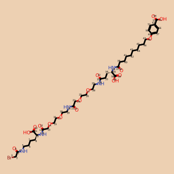 O=C(CBr)NCCCC[C@H](NC(=O)COCCOCCNC(=O)COCCOCCNC(=O)CC[C@H](NC(=O)CCCCCCCCCOc1ccc(C(=O)O)cc1)C(=O)O)C(=O)O